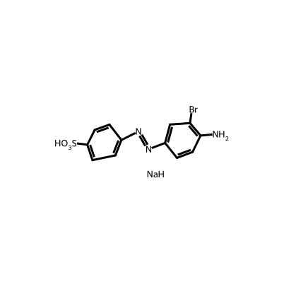 Nc1ccc(/N=N/c2ccc(S(=O)(=O)O)cc2)cc1Br.[NaH]